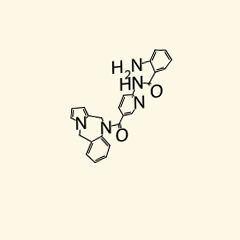 Nc1ccccc1C(=O)Nc1ccc(C(=O)N2Cc3cccn3Cc3ccccc32)cn1